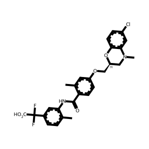 Cc1ccc(C(F)(F)C(=O)O)cc1NC(=O)c1ccc(OC[C@@H]2CN(C)c3cc(Cl)ccc3O2)cc1C